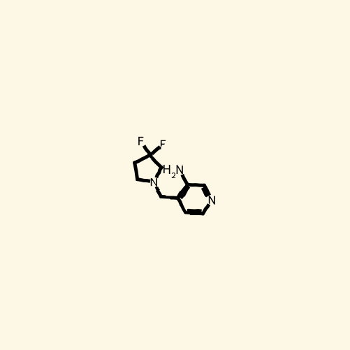 Nc1cnccc1CN1CCC(F)(F)C1